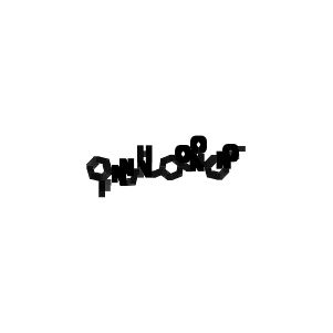 O=C1OC2(CCC(CNc3ccn(-c4ccccc4F)n3)CC2)CN1c1ccc[n+]([O-])c1